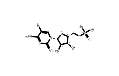 C=C1N=C(NC(C)=O)C(CC)=CN1[C@@H]1O[C@H](COP(=O)(O)O)[C@@H](O)C1O